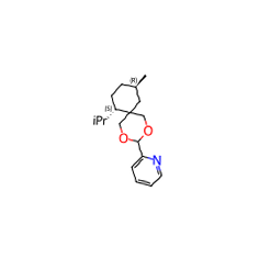 CC(C)[C@@H]1CC[C@@H](C)CC12COC(c1ccccn1)OC2